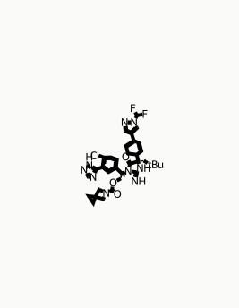 CC(C)(C)C[C@]1(C2C=CC(c3cnn(C(F)F)c3)=CC2)NC(=N)N([C@H](COC(=O)N2CC3(CC3)C2)c2ccc(Cl)c(-c3ncn[nH]3)c2)C1=O